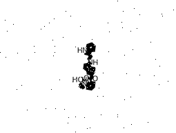 CC(C)(C)N(C(=O)O)c1ccccc1NC(=O)c1ccc2c(c1)CCC2NCCc1c[nH]c2ccccc12